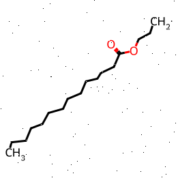 [CH2]CCOC(=O)CCCCCCCCCCCCC